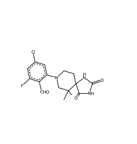 CC1(C)CN(c2cc(Cl)cc(F)c2C=O)CCC12NC(=O)NC2=O